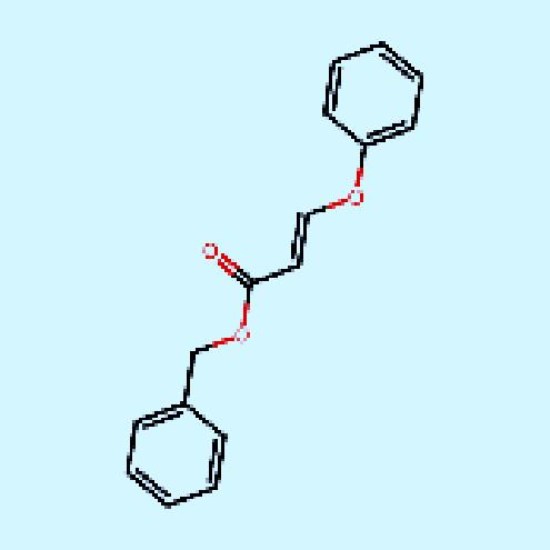 O=C(C=COc1ccccc1)OCc1ccccc1